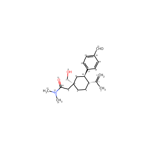 C=C(C)[C@@H]1CC[C@@](CO)(CC(=O)N(C)C)C[C@H]1c1ccc(C=O)cc1